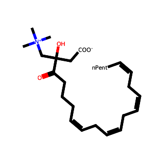 CCCCC/C=C\C/C=C\C/C=C\C/C=C\CCCC(=O)C(O)(CC(=O)[O-])C[N+](C)(C)C